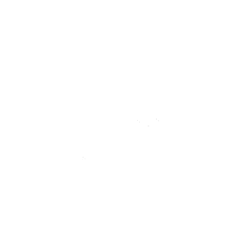 COc1ccc(C2CCN(C(=O)Nc3ccc4cc(CN5CCC(c6ccc(F)cc6)CC5)ccc4c3)CC2)cc1